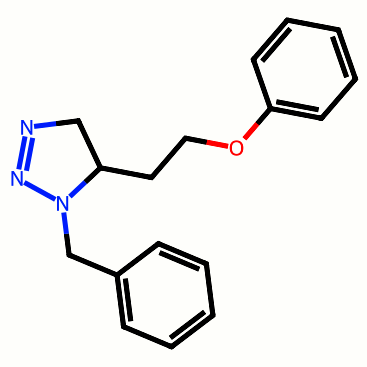 c1ccc(CN2N=NCC2CCOc2ccccc2)cc1